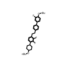 CCCCOc1ccc(-c2ccc(CCc3ccc(C4CCC(OCCCC)CC4)c(F)c3F)cc2)cc1F